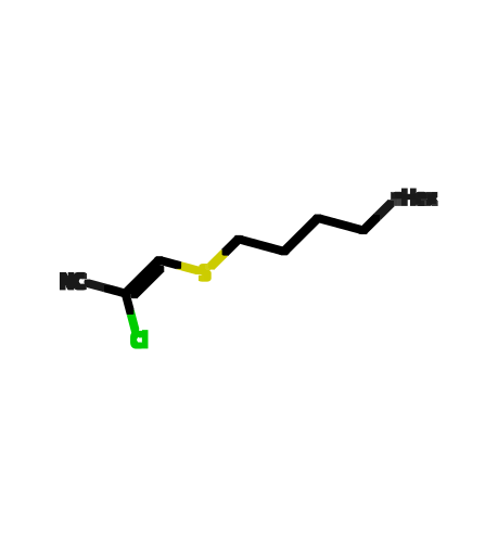 CCCCCCCCCCSC=C(Cl)C#N